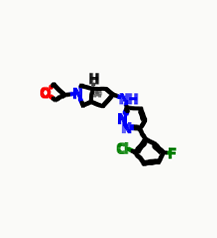 Fc1ccc(Cl)c(-c2ccc(NC3CC4CN(C5COC5)C[C@H]4C3)nn2)c1